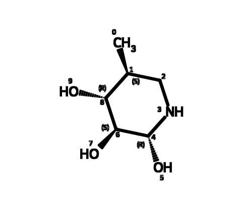 C[C@H]1CN[C@H](O)[C@@H](O)[C@@H]1O